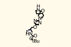 CC(C)(C)OC(=O)NC/C(=C\F)COc1cnc(N2CCCC3(CCNC3=O)C2)nc1